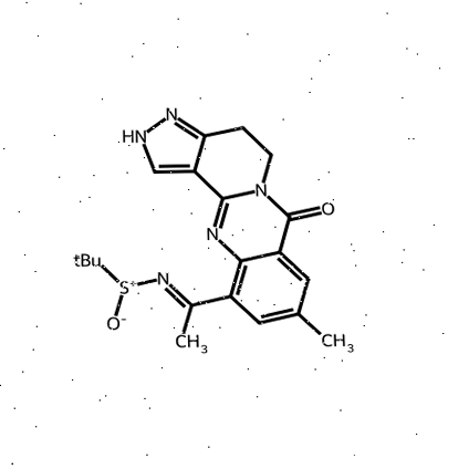 CC(=N[S+]([O-])C(C)(C)C)c1cc(C)cc2c(=O)n3c(nc12)-c1c[nH]nc1CC3